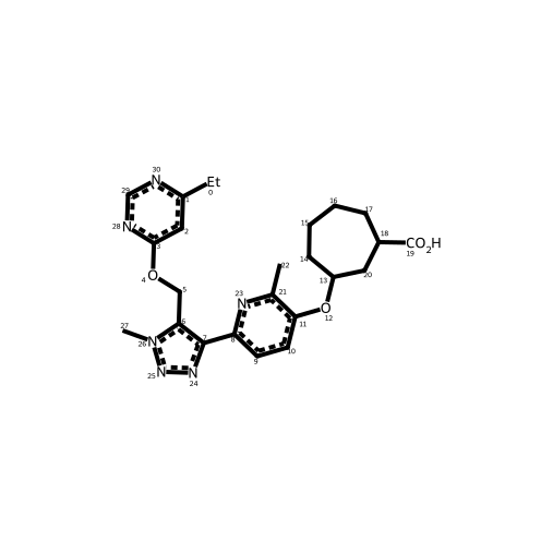 CCc1cc(OCc2c(-c3ccc(OC4CCCCC(C(=O)O)C4)c(C)n3)nnn2C)ncn1